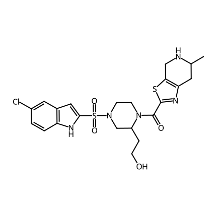 CC1Cc2nc(C(=O)N3CCN(S(=O)(=O)c4cc5cc(Cl)ccc5[nH]4)CC3CCO)sc2CN1